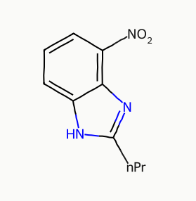 CCCc1nc2c([N+](=O)[O-])cccc2[nH]1